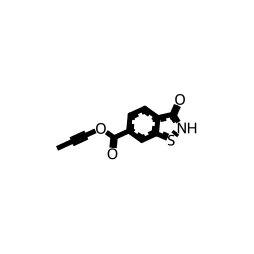 CC#COC(=O)c1ccc2c(=O)[nH]sc2c1